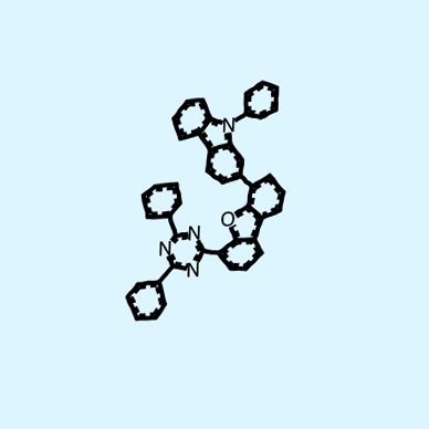 c1ccc(-c2nc(-c3ccccc3)nc(-c3cccc4c3oc3c(-c5ccc6c7ccccc7n(-c7ccccc7)c6c5)cccc34)n2)cc1